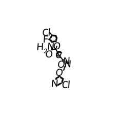 NC(=O)C(Oc1ccc(Cl)c(F)c1)C12CC(c3nnc(COc4cncc(Cl)c4)o3)(C1)C2